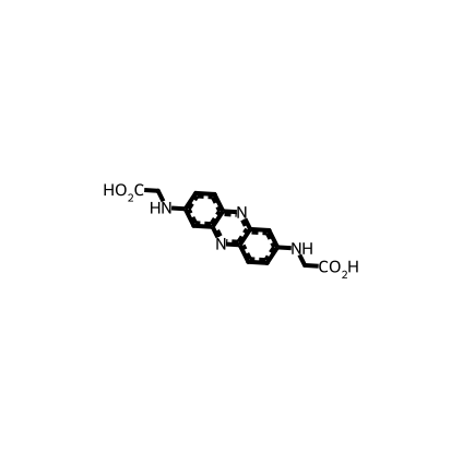 O=C(O)CNc1ccc2nc3cc(NCC(=O)O)ccc3nc2c1